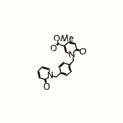 COC(=O)c1ccc(=O)n(Cc2ccc(Cn3ccccc3=O)cc2)c1